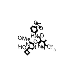 COc1nc(C2(O)CCC2)cnc1Oc1nnc(C(F)(F)F)c(C)c1C(=O)Nc1cccc(S(C)(=O)=O)c1